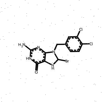 Nc1nc2c(c(=O)[nH]1)NC(Br)N2Cc1ccc(Cl)c(Cl)c1